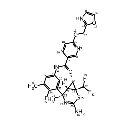 Cc1cc(NC(=O)c2cnc(OCc3ncco3)cn2)cc([C@]2(C)N=C(N)S[C@@]3(C(F)F)C[C@@H]23)c1F